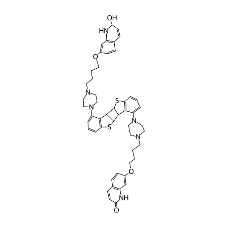 O=c1ccc2ccc(OCCCCN3CCN(c4cccc5c4C4C6Sc7cccc(N8CCN(CCCCOc9ccc%10c(c9)NC(O)C=C%10)CC8)c7C6C4S5)CC3)cc2[nH]1